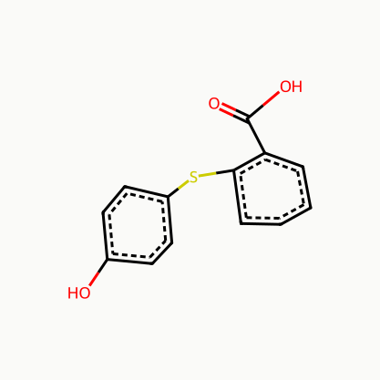 O=C(O)c1ccccc1Sc1ccc(O)cc1